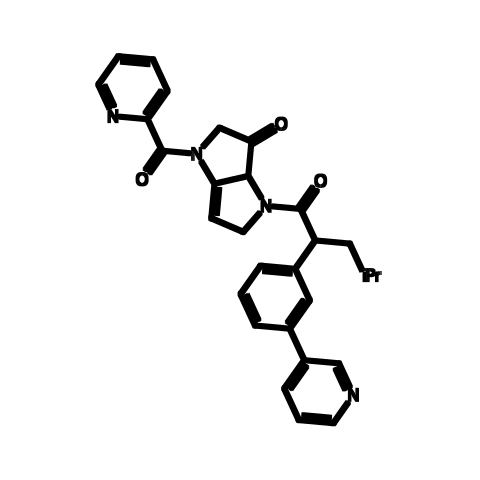 CC(C)CC(C(=O)N1CC=C2C1C(=O)CN2C(=O)c1ccccn1)c1cccc(-c2cccnc2)c1